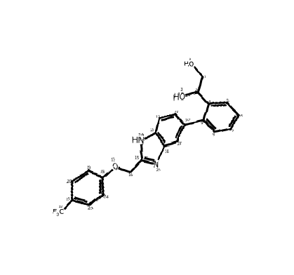 OCC(O)c1ccccc1-c1ccc2[nH]c(COc3ccc(C(F)(F)F)cc3)nc2c1